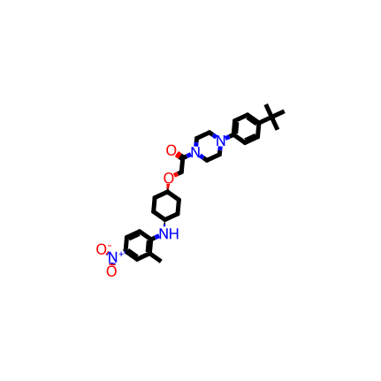 Cc1cc([N+](=O)[O-])ccc1N[C@H]1CC[C@H](OCC(=O)N2CCN(c3ccc(C(C)(C)C)cc3)CC2)CC1